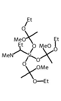 CCOC(C)(OC)O[Si](OC(C)(OC)OCC)(OC(C)(OC)OCC)C(CC)NC